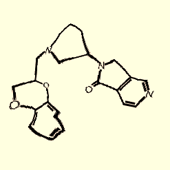 O=C1c2ccncc2CN1C1CCCN(CC2COc3ccccc3O2)C1